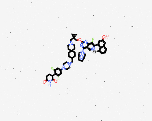 CCc1cccc2cc(O)cc(-c3ncc4c(N5CC6CCC(C5)N6)nc(OCC5(CN6CCC7(CCC(CN8CCN(c9cc(F)c(C%10CCC(=O)NC%10=O)c(F)c9)CC8)CC7)CC6)CC5)nc4c3F)c12